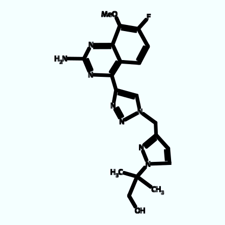 COc1c(F)ccc2c(-c3cn(Cc4ccn(C(C)(C)CO)n4)nn3)nc(N)nc12